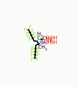 CC(C)NC(C)(CCC(F)(F)C(F)(F)C(F)(F)C(F)F)CC(F)(F)C(F)(F)C(F)(F)C(F)F.O=P(O)(O)O